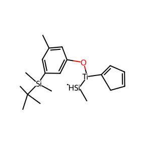 Cc1cc([O][Ti]([C]2=CC=CC2)[SiH](C)C)cc([Si](C)(C)C(C)(C)C)c1